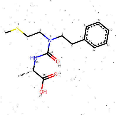 CSCCN(CCc1ccccc1)C(=O)N[C@@H](C)C(=O)O